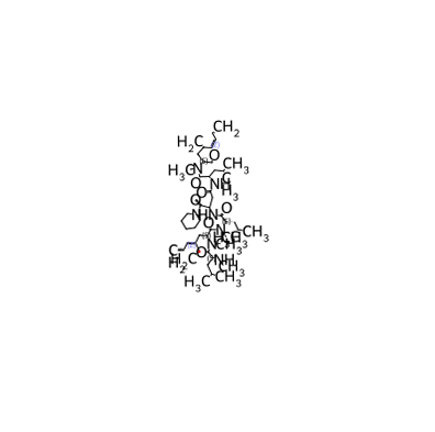 C=C/C=C\C(=C)C[C@@H](C=O)N(C)C(=O)C(CC(C)C)NC(=O)CC(NC(=O)[C@H](CC(C)C)N(C)C(=O)[C@H](C/C(C=C)=C/C=C)N(C)C(=O)[C@H](CC(C)C)NC)C(=O)N1CCCCC1